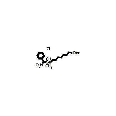 CCCCCCCCCCCCCCCCCC[N+](C)(C)C(c1ccccc1)[N+](=O)[O-].[Cl-]